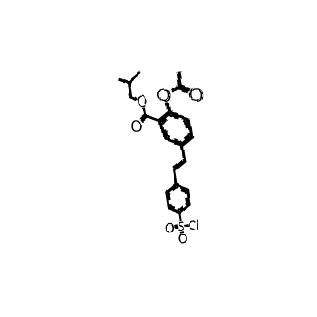 CC(=O)Oc1ccc(C=Cc2ccc(S(=O)(=O)Cl)cc2)cc1C(=O)OCC(C)C